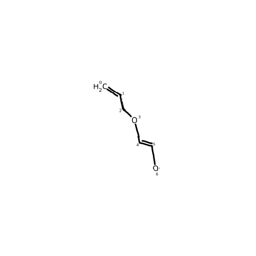 C=CCOC=C[O]